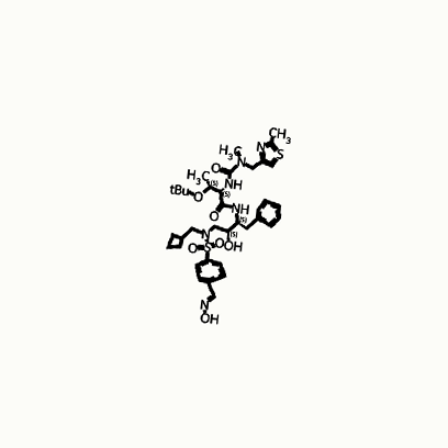 Cc1nc(CN(C)C(=O)N[C@H](C(=O)N[C@@H](Cc2ccccc2)[C@@H](O)CN(CC2CCC2)S(=O)(=O)c2ccc(C=NO)cc2)[C@H](C)OC(C)(C)C)cs1